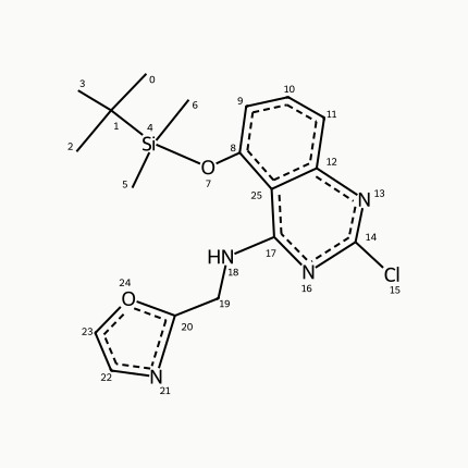 CC(C)(C)[Si](C)(C)Oc1cccc2nc(Cl)nc(NCc3ncco3)c12